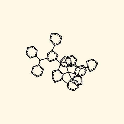 c1ccc(-c2cc(N(c3ccccc3)c3ccccc3)cc(N(c3cccc(N(c4ccccc4)c4ccccc4)c3)c3cccc4c3C3(c5ccccc5-c5ccccc53)c3ccccc3-4)c2)cc1